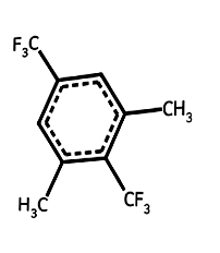 Cc1cc(C(F)(F)F)cc(C)c1C(F)(F)F